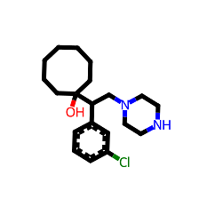 OC1(C(CN2CCNCC2)c2cccc(Cl)c2)CCCCCCC1